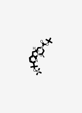 C[C@@H]1CN(C(=O)OC(C)(C)C)C[C@H]2Cc3ccc(C(C)(C)O[Si](C)(C)C)nc3N21